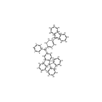 C1=C(N(c2ccccc2)c2ccc3c(c2)-c2ccccc2C32c3ccccc3-c3ccccc32)CCC(n2c3ccccc3c3ccccc32)=C1